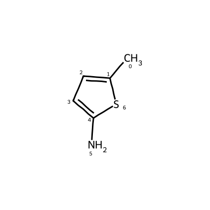 Cc1ccc(N)s1